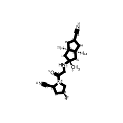 C[C@@]1(NCC(=O)N2C[C@@H](F)CC2C#N)C[C@H]2CC(C#N)C[C@H]2C1